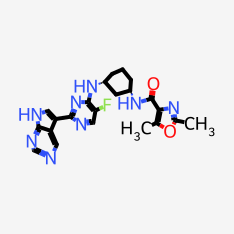 Cc1nc(C(=O)N[C@H]2CCC[C@@H](Nc3nc(-c4c[nH]c5ncncc45)ncc3F)C2)c(C)o1